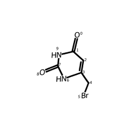 O=c1cc(CBr)[nH]c(=O)[nH]1